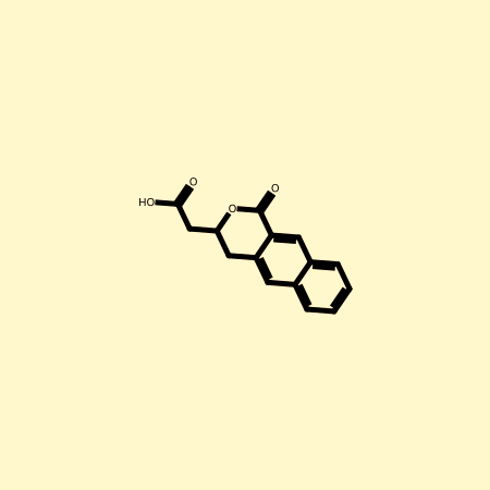 O=C(O)CC1Cc2cc3ccccc3cc2C(=O)O1